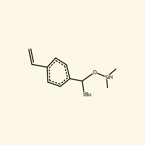 C=Cc1ccc(C(O[SiH](C)C)C(C)(C)C)cc1